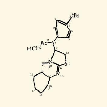 CC(=O)N(c1ccc(C(C)(C)C)cc1)C1CSC(=NC2CCCCC2)N1C.Cl